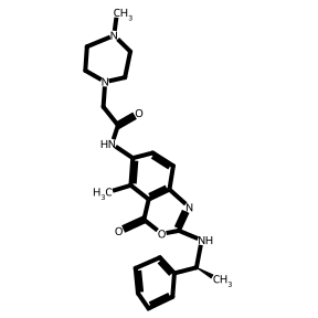 Cc1c(NC(=O)CN2CCN(C)CC2)ccc2nc(N[C@@H](C)c3ccccc3)oc(=O)c12